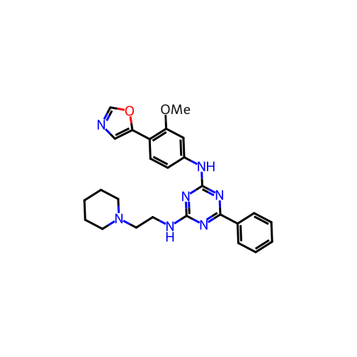 COc1cc(Nc2nc(NCCN3CCCCC3)nc(-c3ccccc3)n2)ccc1-c1cnco1